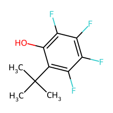 CC(C)(C)c1c(O)c(F)c(F)c(F)c1F